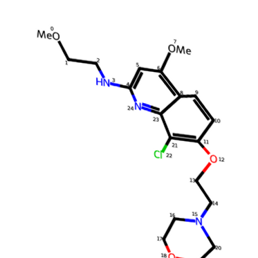 COCCNc1cc(OC)c2ccc(OCCN3CCOCC3)c(Cl)c2n1